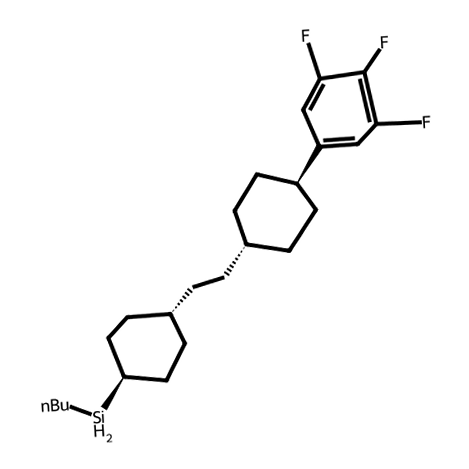 CCCC[SiH2][C@H]1CC[C@H](CC[C@H]2CC[C@H](c3cc(F)c(F)c(F)c3)CC2)CC1